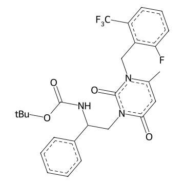 Cc1cc(=O)n(CC(NC(=O)OC(C)(C)C)c2ccccc2)c(=O)n1Cc1c(F)cccc1C(F)(F)F